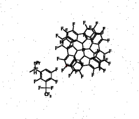 CCC[PH+](C)c1cc(F)c(F)c(C(F)(F)C(F)(F)F)c1F.Fc1cc2c(c(F)c1F)-c1c(F)c(F)c(F)c(F)c1C2[B-](C1c2cc(F)c(F)c(F)c2-c2c(F)c(F)c(F)c(F)c21)(C1c2cc(F)c(F)c(F)c2-c2c(F)c(F)c(F)c(F)c21)C1c2cc(F)c(F)c(F)c2-c2c(F)c(F)c(F)c(F)c21